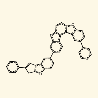 C1=C(c2ccccc2)Cc2oc3ccc(-c4ccc5c(c4)sc4ccc6oc7ccc(-c8ccccc8)cc7c6c45)cc3c21